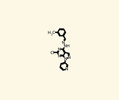 Cc1cccc(/C=N/Nc2nc(Cl)nc3c2cnn3-c2cccnc2)c1